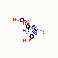 Cc1ccc(S(=O)(=O)NC2CCC(O)CC2)cc1-c1cnc2c(N)nc(-c3ccc(CO)cc3F)cn12